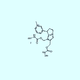 CCCNC(=O)OCc1cn2c(c1COC(=O)NCCC)C(c1ccc[n+](C)c1)CC2.[I-]